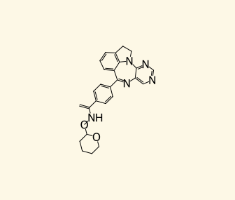 C=C(NOC1CCCCO1)c1ccc(C2=Nc3cncnc3N3CCc4cccc2c43)cc1